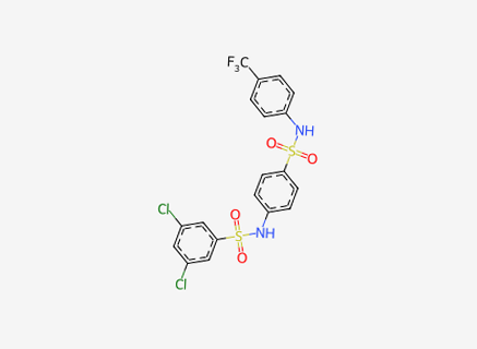 O=S(=O)(Nc1ccc(C(F)(F)F)cc1)c1ccc(NS(=O)(=O)c2cc(Cl)cc(Cl)c2)cc1